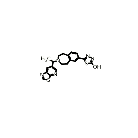 CC(c1cnc2scnc2c1)N1CCc2ccc(-c3nnc(O)s3)cc2CC1